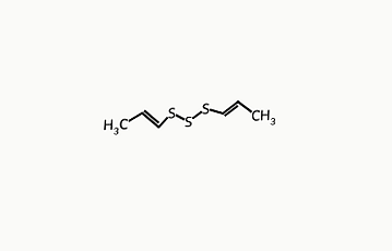 CC=CSSS/C=C/C